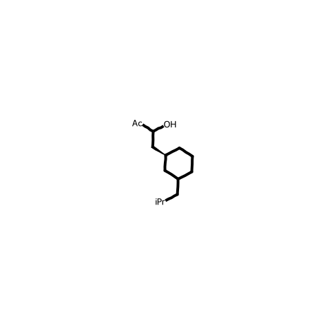 CC(=O)C(O)C[C@H]1CCCC(CC(C)C)C1